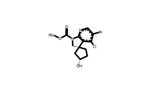 CC(C)(C)OC(=O)N1C[C@@]2(CC[C@H](O)C2)c2c1ncc(Br)c2Cl